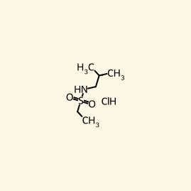 CCS(=O)(=O)NC[C](C)C.Cl